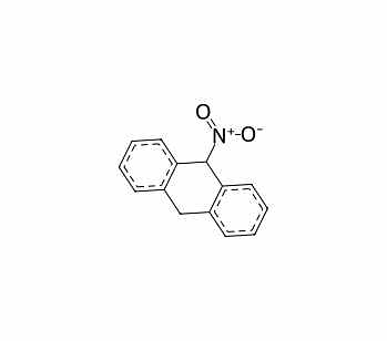 O=[N+]([O-])C1c2ccccc2Cc2ccccc21